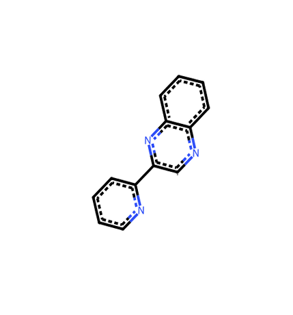 [c]1nc2ccccc2nc1-c1ccccn1